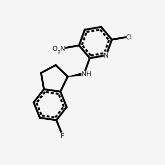 O=[N+]([O-])c1ccc(Cl)nc1N[C@@H]1CCc2ccc(F)cc21